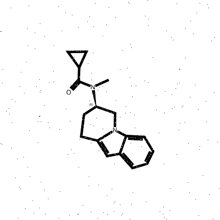 CN(C(=O)C1CC1)[C@@H]1CCc2[c]c3ccccc3n2C1